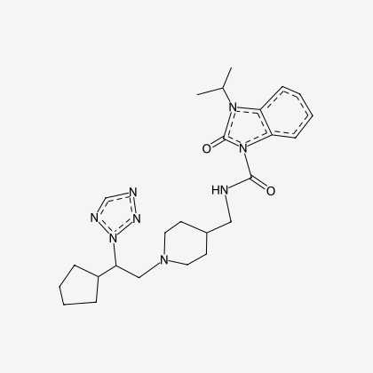 CC(C)n1c(=O)n(C(=O)NCC2CCN(CC(C3CCCC3)n3ncnn3)CC2)c2ccccc21